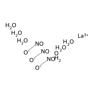 O.O.O.O.O.O.O=N[O-].O=N[O-].O=N[O-].[La+3]